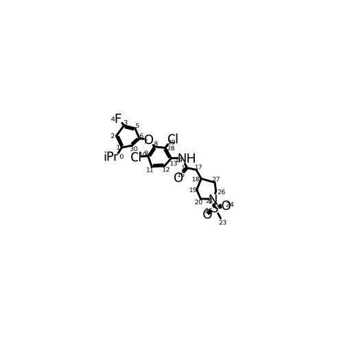 CC(C)c1cc(F)cc(Oc2c(Cl)ccc(NC(=O)CC3CCN(S(C)(=O)=O)CC3)c2Cl)c1